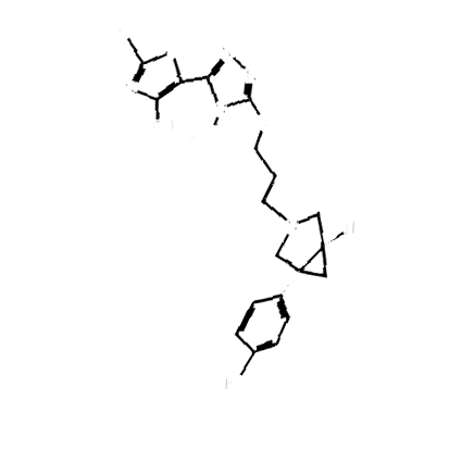 Cc1nc(C)c(-c2nnc(SCCCN3C[C@@H]4C[C@@]4(c4ccc(Br)cc4)C3)n2C)s1